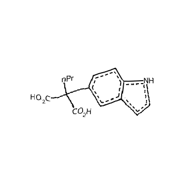 CCCC(C(=O)O)(C(=O)O)c1ccc2[nH]ccc2c1